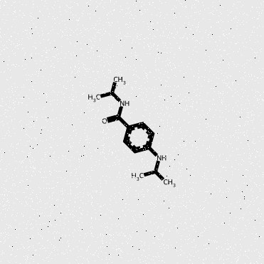 CC(C)NC(=O)c1ccc(NC(C)C)cc1